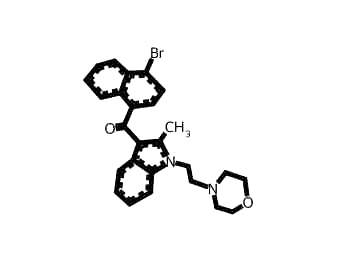 Cc1c(C(=O)c2ccc(Br)c3ccccc23)c2ccccc2n1CCN1CCOCC1